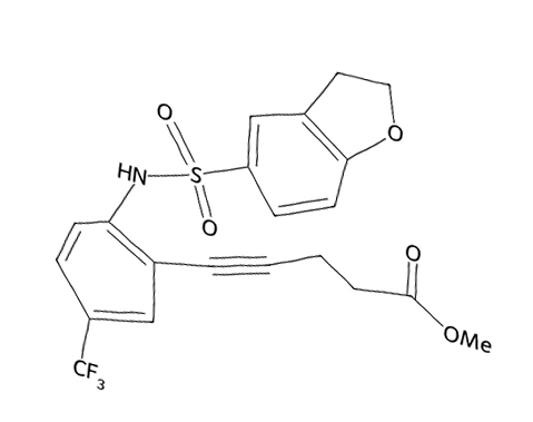 COC(=O)CCC#Cc1cc(C(F)(F)F)ccc1NS(=O)(=O)c1ccc2c(c1)CCO2